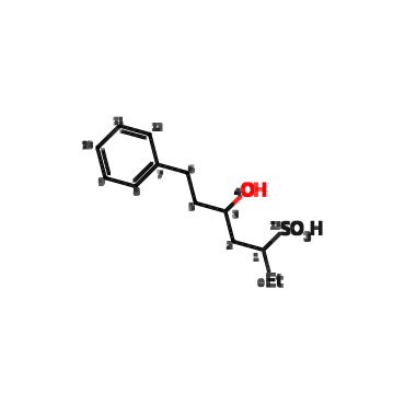 CCC(CC(O)CCc1ccccc1)S(=O)(=O)O